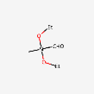 CCO[Si](C)(C=O)OCC